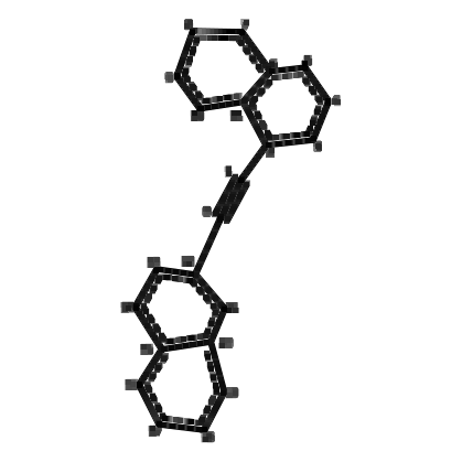 C(#Cc1cc[c]c2ccccc12)c1ccc2ccccc2c1